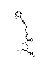 CC(C)CNC(=O)C=CCCC#Cc1cccs1